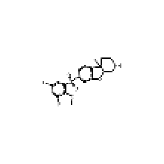 COc1c(F)cc(F)cc1S(=O)(=O)c1ccc2c(c1)OC1CNCCC21C